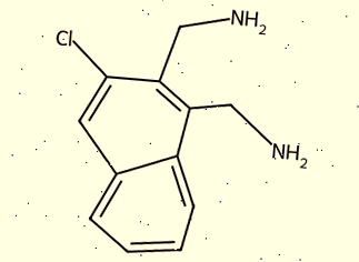 NCc1c(Cl)cc2ccccc2c1CN